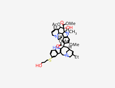 CCC1=C[C@H]2CN(C1)Cc1c([nH]c3ccc(SCCCO)cc13)[C@@](C(=O)OC)(c1cc3c(cc1OC)N(C)[C@H]1[C@@](O)(C(=O)OC)[C@H](OC(C)=O)[C@]4(CC)C=CCN5CC[C@]31[C@@H]54)C2